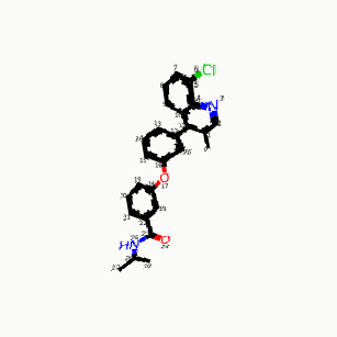 Cc1cnc2c(Cl)cccc2c1-c1cccc(Oc2cccc(C(=O)NC(C)C)c2)c1